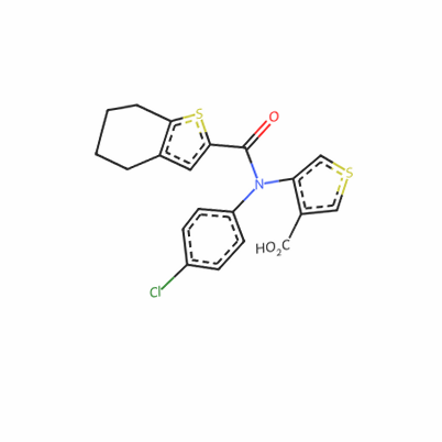 O=C(O)c1cscc1N(C(=O)c1cc2c(s1)CCCC2)c1ccc(Cl)cc1